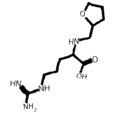 N=C(N)NCCCC(NCC1CCCO1)C(=O)O